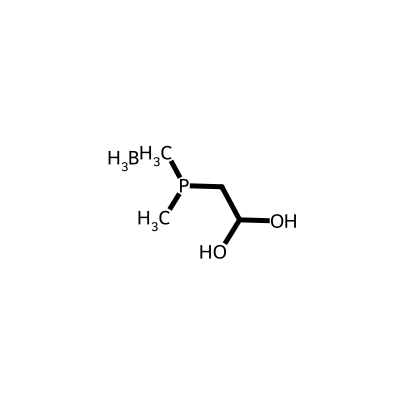 B.CP(C)CC(O)O